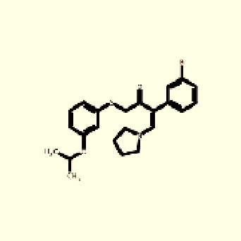 CC(C)Oc1cccc(SCC(=O)C(=CN2CCCC2)c2cccc(Br)c2)c1